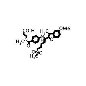 COc1ccc2c(c1)C(C)C(C(CCCCS(C)(=O)=O)Nc1ccc(C(=O)N(C)CCC(=O)O)cc1)O2